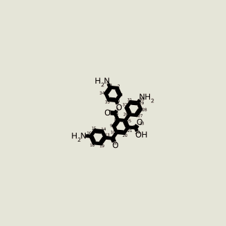 Nc1ccc(OC(=O)c2cc(C(=O)c3ccc(N)cc3)cc(C(=O)O)c2-c2ccc(N)cc2)cc1